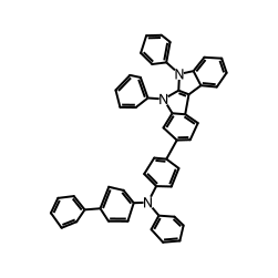 c1ccc(-c2ccc(N(c3ccccc3)c3ccc(-c4ccc5c6c7ccccc7n(-c7ccccc7)c6n(-c6ccccc6)c5c4)cc3)cc2)cc1